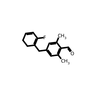 Cc1cc(CC2=C(F)C=CCC2)cc(C)c1C=O